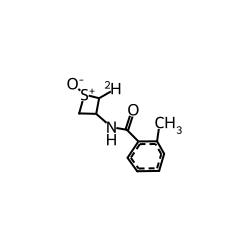 [2H]C1C(NC(=O)c2ccccc2C)C[S+]1[O-]